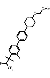 COCOC1CCC(c2ccc(-c3ccc(C(F)(F)C(F)C(F)(F)F)c(F)c3)cc2)CC1